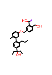 CCCc1cc(C(O)(CC)CC)ccc1-c1cc(OCc2ccc(CO)c(C(O)I)c2)ccc1C